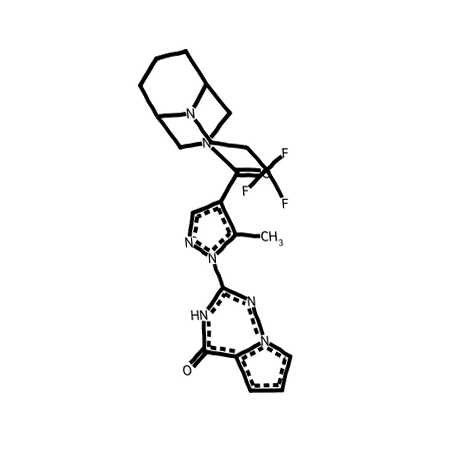 Cc1c(C(=O)N2CC3CCCC(C2)N3CCC(F)(F)F)cnn1-c1nn2cccc2c(=O)[nH]1